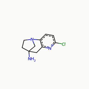 NC12CCN(C1)c1ccc(Cl)nc1C2